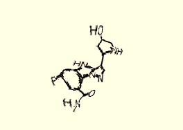 NC(=O)c1cc(F)cc2[nH]c3c(C4CC(O)CN4)cnn3c12